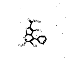 CNC(=O)c1sc2nc(N)c(C#N)c(-c3ccccc3)c2c1N